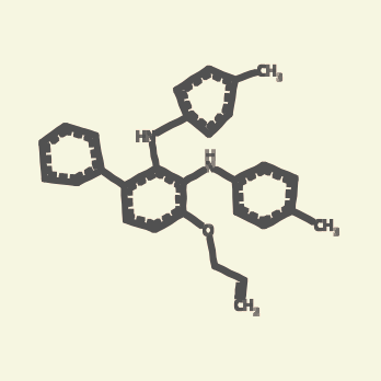 C=CCOc1ccc(-c2ccccc2)c(Nc2ccc(C)cc2)c1Nc1ccc(C)cc1